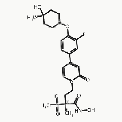 CC1(O)CCC(Oc2ccc(-c3ccn(CC[C@](C)(C(=O)NO)S(C)(=O)=O)c(=O)c3)cc2F)CC1